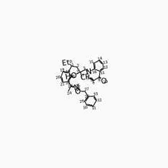 CCC(CC(O)(Cn1ccc(=O)c2ccccc21)C(F)(F)F)c1cccc(C(C)=NOCc2ccccc2)c1